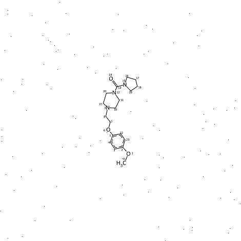 COc1ccc(OCCN2CCN(C(=O)N3CCCC3)CC2)cc1